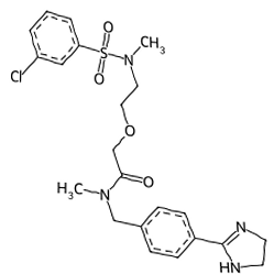 CN(Cc1ccc(C2=NCCN2)cc1)C(=O)COCCN(C)S(=O)(=O)c1cccc(Cl)c1